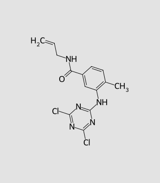 C=CCNC(=O)c1ccc(C)c(Nc2nc(Cl)nc(Cl)n2)c1